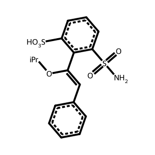 CC(C)OC(=Cc1ccccc1)c1c(S(N)(=O)=O)cccc1S(=O)(=O)O